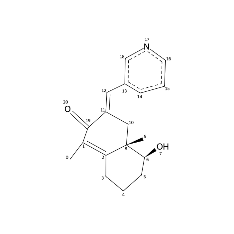 CC1=C2CCC[C@H](O)[C@@]2(C)C/C(=C\c2cccnc2)C1=O